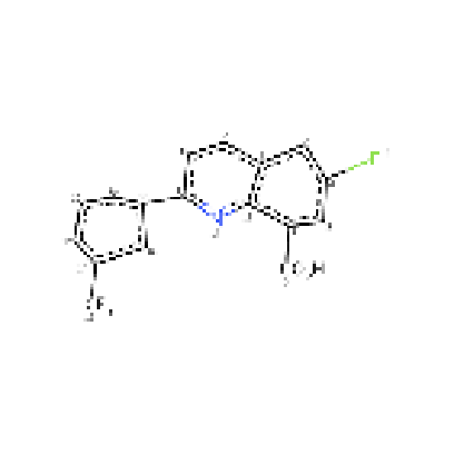 O=C(O)c1cc(F)cc2ccc(-c3cccc(C(F)(F)F)c3)nc12